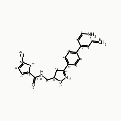 C=C/C=C(\C=C/N)c1ccc(C2=NOC(CNC(=O)c3ccc(Cl)s3)C2)cc1